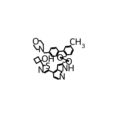 Cc1ccc(S(=O)(=O)c2cc3c(-c4cnc(C5(O)CCC5)s4)ccnc3[nH]2)c(-c2ccc(CN3CCOCC3)cc2)c1